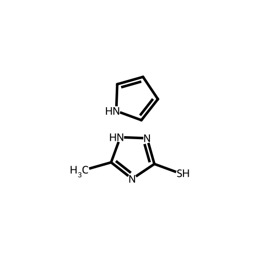 Cc1nc(S)n[nH]1.c1cc[nH]c1